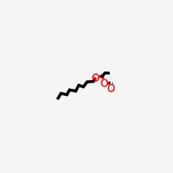 CCCCCCCCCOC(CC)O[C]=O